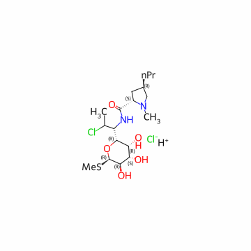 CCC[C@@H]1C[C@@H](C(=O)NC(C(C)Cl)[C@H]2O[C@H](SC)[C@H](O)[C@@H](O)[C@H]2O)N(C)C1.[Cl-].[H+]